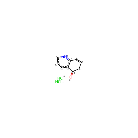 Cl.Cl.O=C1CC=Cc2ncccc21